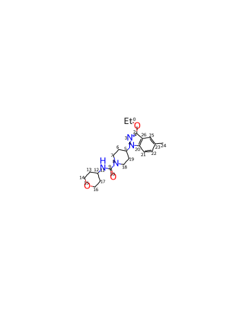 CCOc1nn(C2CCN(C(=O)NC3CCOCC3)CC2)c2ccc(C)cc12